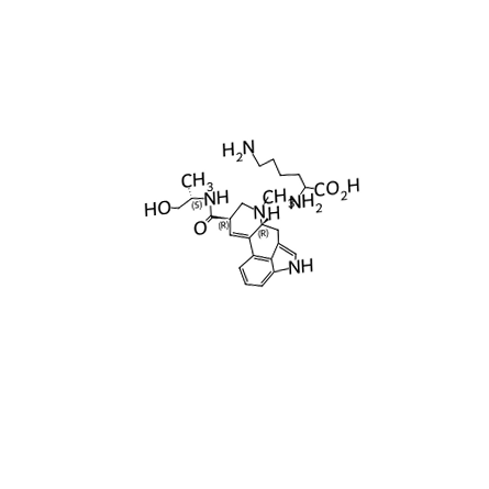 C[C@@H](CO)NC(=O)[C@@H]1C=C2c3cccc4[nH]cc(c34)C[C@H]2N(C)C1.NCCCCC(N)C(=O)O